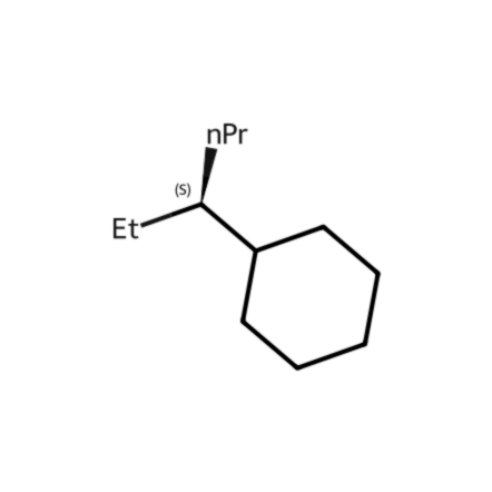 [CH2]CC[C@H](CC)C1CCCCC1